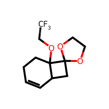 FC(F)(F)COC12CCC=CC1CC21OCCO1